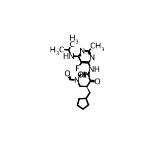 Cc1nc(NNC(=O)[C@@H](CC2CCCC2)CN(O)C=O)c(F)c(NC(C)C)n1